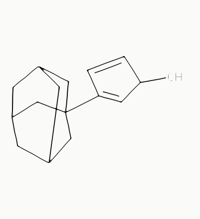 CC1[C]=CC(C23CC4CC(CC(C4)C2)C3)=C1